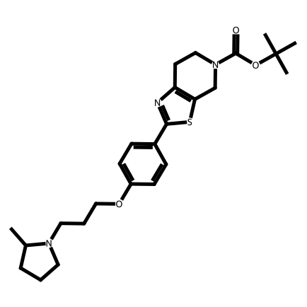 CC1CCCN1CCCOc1ccc(-c2nc3c(s2)CN(C(=O)OC(C)(C)C)CC3)cc1